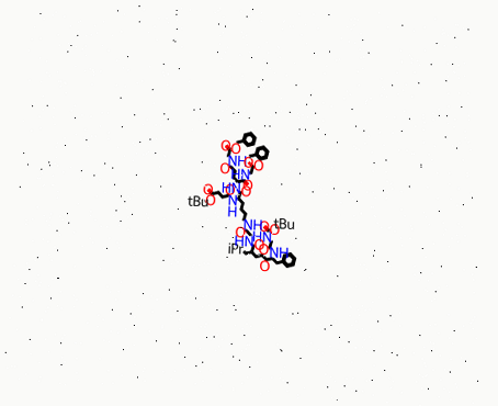 CC(C)CC(CCC(=O)C(Cc1ccccc1)NC(=O)CNC(=O)OC(C)(C)C)C(=O)NCC(=O)NCCCCC(NC(=O)CCC(=O)OC(C)(C)C)C(=O)NC(CCC(=O)NCC(=O)OCc1ccccc1)C(=O)NCC(=O)OCc1ccccc1